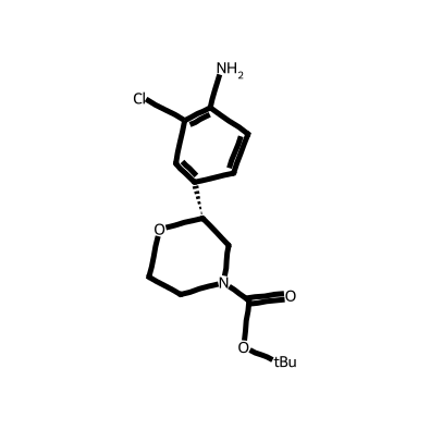 CC(C)(C)OC(=O)N1CCO[C@H](c2ccc(N)c(Cl)c2)C1